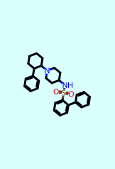 O=S(=O)(NC1CCN(C2CCCCC2c2ccccc2)CC1)c1ccccc1-c1ccccc1